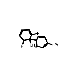 CCCC1=CCC(C2(C)C(F)=CC=CC2F)C=C1